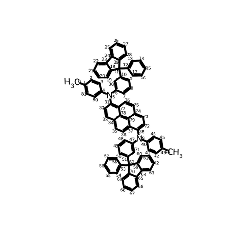 Cc1ccc(N(c2cccc(C3(c4ccccc4)c4ccccc4-c4ccccc43)c2)c2ccc3ccc4c(N(c5ccc(C)cc5)c5cccc(C6(c7ccccc7)c7ccccc7-c7ccccc76)c5)ccc5ccc2c3c54)cc1